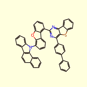 c1ccc(-c2ccc(-c3nc(-c4cccc5oc6c(-n7c8ccccc8c8ccc9ccccc9c87)cccc6c45)nc4c3sc3ccccc34)cc2)cc1